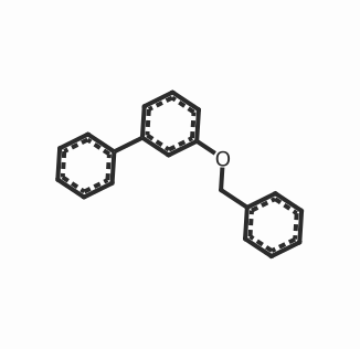 c1ccc(COc2cccc(-c3ccccc3)c2)cc1